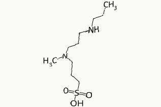 CCCNCCCN(C)CCCS(=O)(=O)O